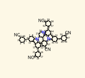 N#Cc1cccc(-c2ccc3c(c2)c2cc(-c4cccc(C#N)c4)ccc2n3-c2ccncc2-c2ccc(C#N)cc2-n2c3ccc(-c4cccc(C#N)c4)cc3c3cc(-c4cccc(C#N)c4)ccc32)c1